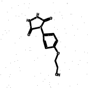 O=c1[nH][nH]c(=O)n1-c1ccc(OCCO)cc1